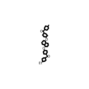 CCc1ccc(C(=O)c2ccc(Oc3cccc4c(Oc5ccc(C(=O)c6ccc(C)cc6)cc5)cccc34)cc2)cc1